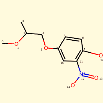 COC(C)COc1ccc(O)c([N+](=O)[O-])c1